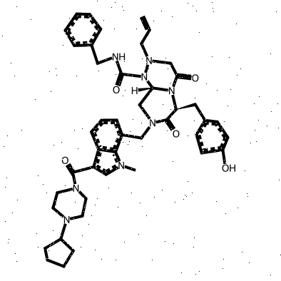 C=CCN1CC(=O)N2[C@@H](Cc3ccc(O)cc3)C(=O)N(Cc3cccc4c(C(=O)N5CCN(C6CCCC6)CC5)cn(C)c34)C[C@@H]2N1C(=O)NCc1ccccc1